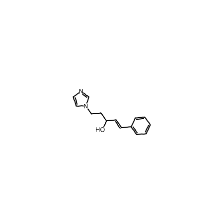 OC(C=Cc1ccccc1)CCn1ccnc1